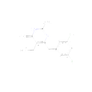 C=C1NC(C)=NC(Cc2cc(F)cc(F)c2)=C1CC